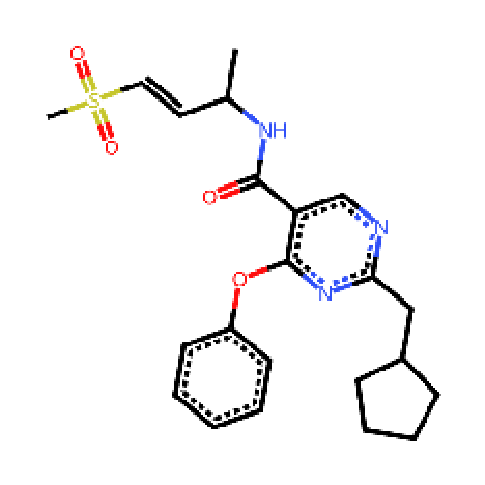 CC(C=CS(C)(=O)=O)NC(=O)c1cnc(CC2CCCC2)nc1Oc1ccccc1